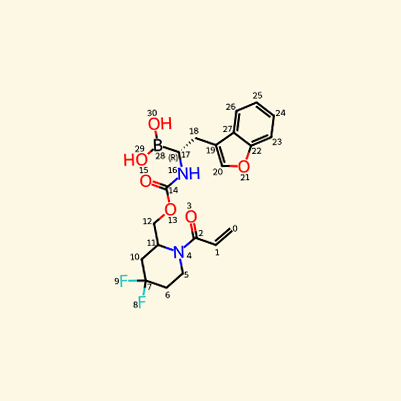 C=CC(=O)N1CCC(F)(F)CC1COC(=O)N[C@@H](Cc1coc2ccccc12)B(O)O